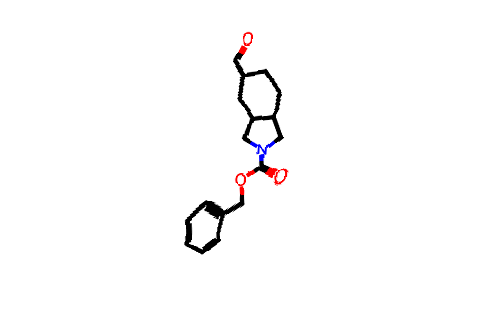 O=CC1CCC2CN(C(=O)OCc3ccccc3)CC2C1